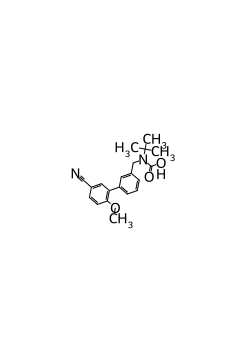 COc1ccc(C#N)cc1-c1cccc(CN(C(=O)O)C(C)(C)C)c1